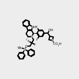 C[C@@H]1Cc2c([nH]c3ccccc23)[C@@H](c2c(F)cc(C(O)C3CN(C(=O)O)C3)cc2F)N1CC(F)(F)CO[Si](c1ccccc1)(c1ccccc1)C(C)(C)C